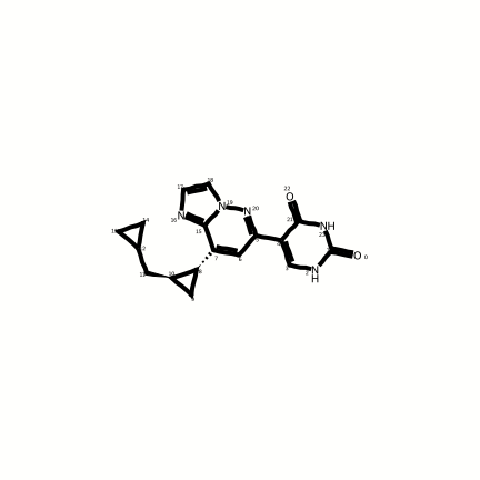 O=c1[nH]cc(-c2cc([C@@H]3C[C@H]3CC3CC3)c3nccn3n2)c(=O)[nH]1